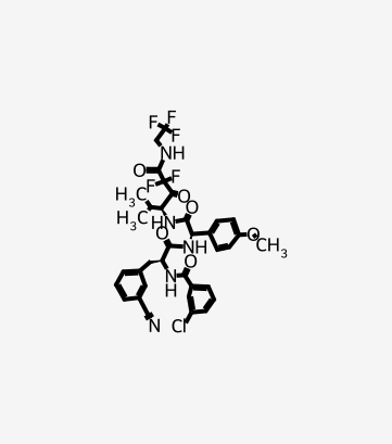 COc1ccc([C@H](NC(=O)[C@H](Cc2cccc(C#N)c2)NC(=O)c2cccc(Cl)c2)C(=O)N[C@H](C(=O)C(F)(F)C(=O)NCC(F)(F)F)C(C)C)cc1